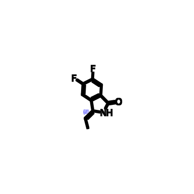 C/C=C1\NC(=O)c2cc(F)c(F)cc21